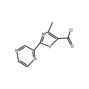 Cc1nc(-c2cnccn2)sc1C(=O)Cl